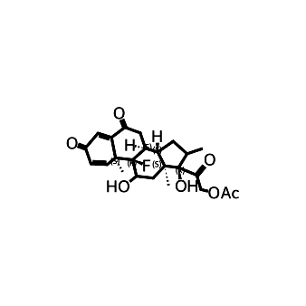 CC(=O)OCC(=O)[C@@]1(O)C(C)C[C@H]2[C@@H]3CC(=O)C4=CC(=O)C=C[C@]4(C)[C@@]3(F)C(O)C[C@@]21C